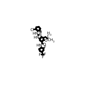 CC1(C)Cc2c3c(cc(C(=O)Nc4ccc(C(F)(F)F)cc4F)c2O1)NC(Nc1c(F)cccc1Cl)N3